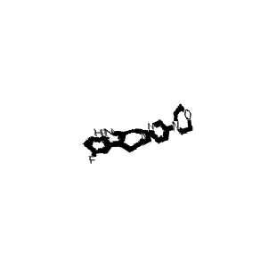 Fc1ccc2[nH]c3c(c2c1)CC1CCC3N1c1ccc(N2CCOCC2)cn1